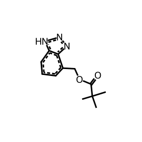 CC(C)(C)C(=O)OCc1cccc2[nH]nnc12